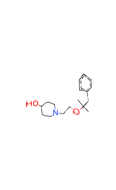 CC(C)(Cc1ccccc1)OCCN1CCC(O)CC1